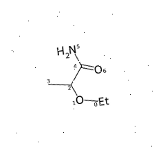 CCOC(C)C(N)=O